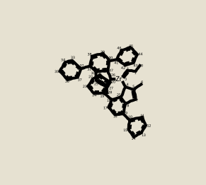 CC[CH]=[Zr]([CH]1C(C)=Cc2c(-c3ccccc3)ccc(-c3ccccc3)c21)[CH]1C(C)=Cc2c(-c3ccccc3)ccc(-c3ccccc3)c21